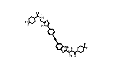 C=C(NCc1ncc(-c2ccc(C#Cc3ccc4nc([C@@H](NC(=O)C5CCC(F)(F)CC5)C(C)C)[nH]c4c3)cc2)[nH]1)C1CCC(F)(F)CC1